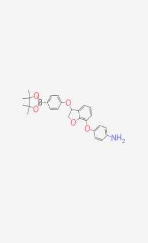 CC1(C)OB(c2ccc(OC3COc4c(Oc5ccc(N)cc5)cccc43)cc2)OC1(C)C